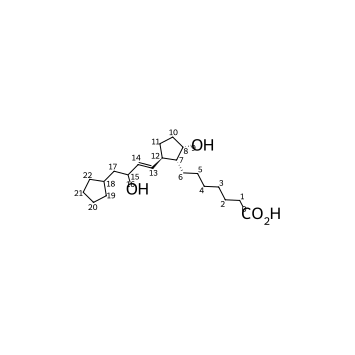 O=C(O)CCCCCC[C@H]1[C@@H](O)CC[C@@H]1C=CC(O)CC1CCCC1